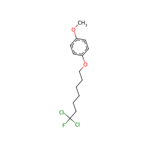 COc1ccc(OCCCCCCC(F)(Cl)Cl)cc1